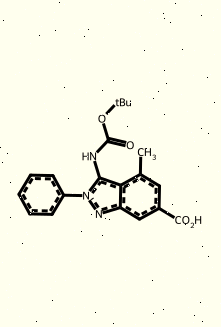 Cc1cc(C(=O)O)cc2nn(-c3ccccc3)c(NC(=O)OC(C)(C)C)c12